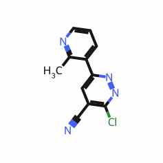 Cc1ncccc1-c1cc(C#N)c(Cl)nn1